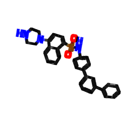 O=S(=O)(Nc1ccc(-c2cccc(-c3ccccc3)c2)cc1)c1ccc(N2CCNCC2)c2ccccc12